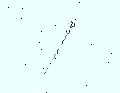 [CH2][C@H]1CC[C@@H](COCCCCCCCCCCCCCCCCCC)O1